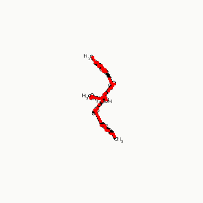 C=C(C)C(=O)OCCCCCCc1cc(OCCCCCCCCOC(=O)CC(C=O)OCCCCCCCCOc2ccc(C(=O)Oc3ccc([C@H]4CC[C@H](CCCCC)CC4)cc3)cc2)cc(C(=O)O)c1OCCCCCCCCOC(=O)CC(C=O)OCCCCCCCCOc1ccc(C(=O)Oc2ccc([C@H]3CC[C@H](CCCCC)CC3)cc2)cc1